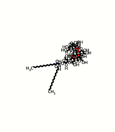 CCCCCCCCCCCCC/C=C/[C@@H](O)[C@H](CO[C@@H]1OC(CO)[C@@H](O[C@@H]2OC(CO)[C@H](O[C@@H]3OC(CO)[C@H](O)[C@H](O[C@@H]4OC(CO)[C@H](O)[C@H](O[C@@H]5OC(CO)[C@H](O)[C@H](O[C@H]6OC(CO)[C@H](O)[C@H](O)C6NC(C)=O)C5O[C@H]5OC(C)[C@@H](O)C(O)[C@@H]5O)C4NC(C)=O)C3O)[C@H](O)C2O)[C@H](O)C1O)NC(=O)CCCCCCCCCCCCCCC